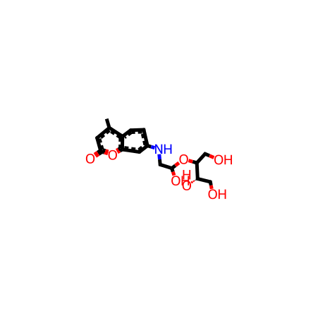 Cc1cc(=O)oc2cc(NCC(O)OC(CO)[C@@H](O)CO)ccc12